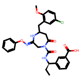 CC[C@@H](NC(=O)N1C/C(=N/Oc2ccccc2)NC(Cc2cc(Cl)ccc2OC)CC1=O)c1cccc(C(=O)O)c1